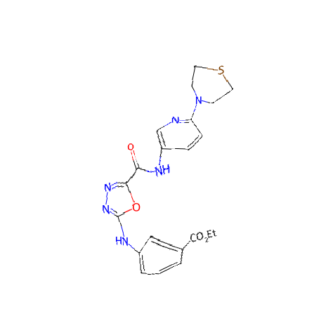 CCOC(=O)c1cccc(Nc2nnc(C(=O)Nc3ccc(N4CCSCC4)nc3)o2)c1